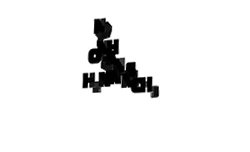 Cc1csc(-c2nc(N)c3cc(C(=O)NCc4cccnc4)sc3n2)n1